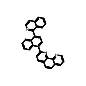 c1ccc2c(-c3ccc(-c4ccc5ccc6cccnc6c5n4)c4ccccc34)nccc2c1